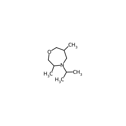 CC1COCC(C)N(C(C)C)C1